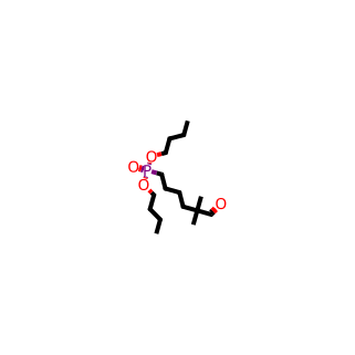 CCCCOP(=O)(CCCCC(C)(C)C=O)OCCCC